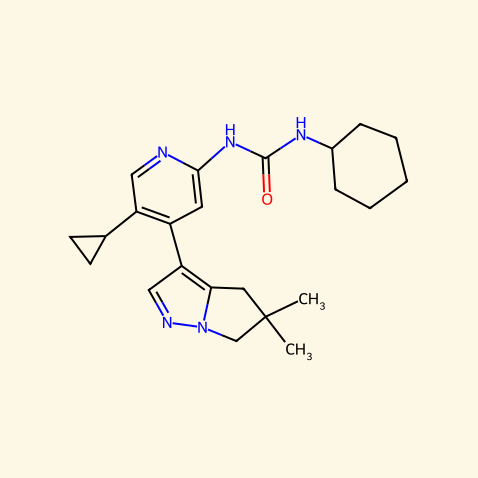 CC1(C)Cc2c(-c3cc(NC(=O)NC4CCCCC4)ncc3C3CC3)cnn2C1